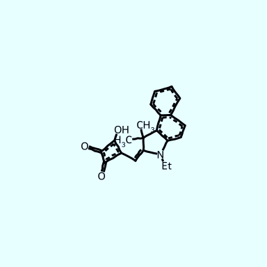 CCN1C(=Cc2c(O)c(=O)c2=O)C(C)(C)c2c1ccc1ccccc21